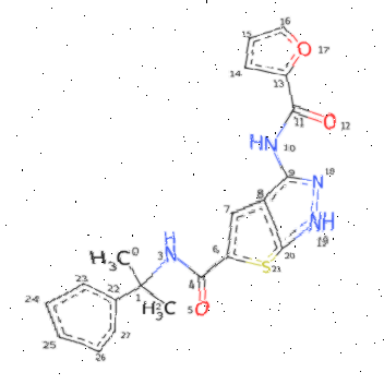 CC(C)(NC(=O)c1cc2c(NC(=O)c3ccco3)n[nH]c2s1)c1ccccc1